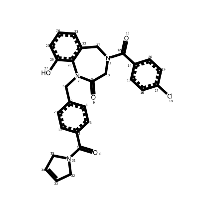 O=C(c1ccc(CN2C(=O)CN(C(=O)c3ccc(Cl)cc3)Cc3cccc(O)c32)cc1)N1CC=CC1